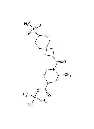 C[C@@H]1CN(C(=O)OC(C)(C)C)CCN1C(=O)C1CC2(CCN(S(C)(=O)=O)CC2)C1